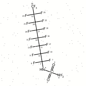 NS(=O)(=O)NC(F)(F)C(F)(F)C(F)(F)C(F)(F)C(F)(F)C(F)(F)C(F)(F)C(F)(F)F